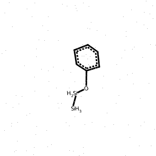 [SiH3][SiH2]Oc1ccccc1